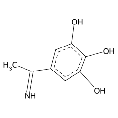 CC(=N)c1cc(O)c(O)c(O)c1